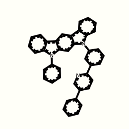 c1ccc(-c2ccc(-c3cccc(-n4c5ccccc5c5cc6c7ccccc7n(-c7ccccc7)c6cc54)c3)nc2)cc1